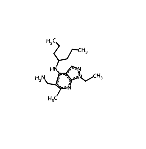 CCCC(CCC)Nc1c(CN)c(C)nc2c1cnn2CC